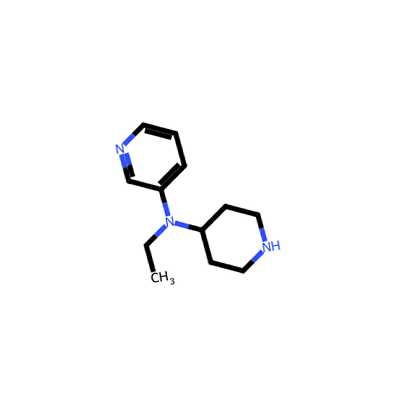 CCN(c1cccnc1)C1CCNCC1